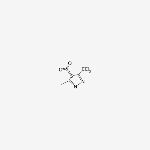 CC1=NN=C(C(Cl)(Cl)Cl)S1=S(=O)=O